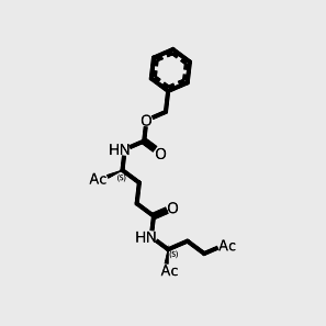 CC(=O)CC[C@H](NC(=O)CC[C@H](NC(=O)OCc1ccccc1)C(C)=O)C(C)=O